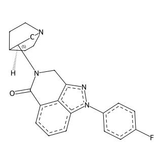 O=C1c2cccc3c2c(nn3-c2ccc(F)cc2)CN1[C@@H]1CN2CCC1CC2